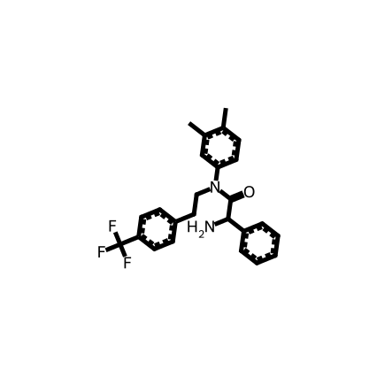 Cc1ccc(N(CCc2ccc(C(F)(F)F)cc2)C(=O)C(N)c2ccccc2)cc1C